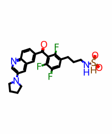 O=C(c1ccc2ncc(N3CCCC3)cc2c1)c1c(F)c(F)cc(CCCN[SH](=O)=O)c1F